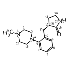 CN1CCN(c2ccccc2C[C@H]2CCNC2=O)CC1